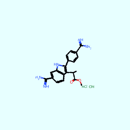 COC(=O)C(C)c1c(-c2ccc(C(=N)N)cc2)[nH]c2cc(C(=N)N)ccc12.Cl.Cl